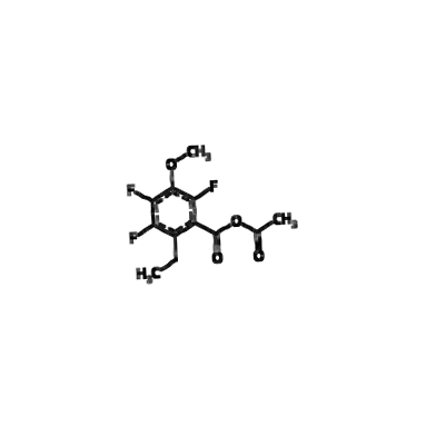 CCc1c(F)c(F)c(OC)c(F)c1C(=O)OC(C)=O